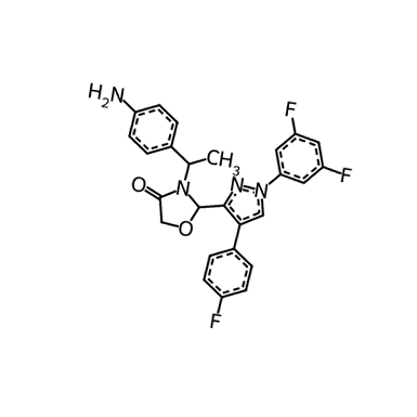 CC(c1ccc(N)cc1)N1C(=O)COC1c1nn(-c2cc(F)cc(F)c2)cc1-c1ccc(F)cc1